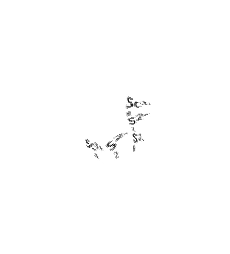 [S-2].[S-2].[S-2].[Sc+3].[Sc+3]